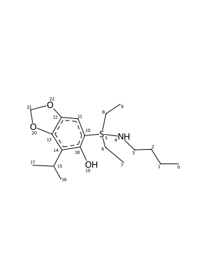 CCCCNS(CC)(CC)c1cc2c(c(C(C)C)c1O)OCO2